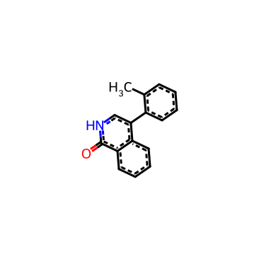 Cc1ccccc1-c1c[nH]c(=O)c2ccccc12